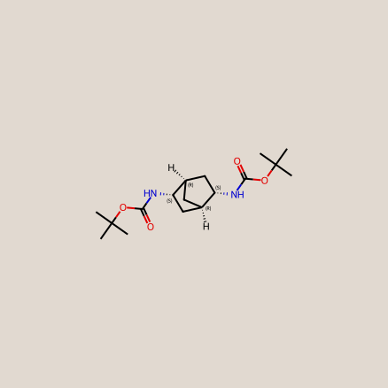 CC(C)(C)OC(=O)N[C@H]1C[C@H]2C[C@@H]1C[C@@H]2NC(=O)OC(C)(C)C